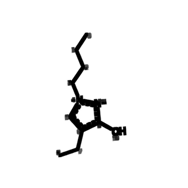 CCCCn1cc(CC)c(O)n1